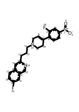 O=[N+]([O-])c1ccc(C2=CCN(CCCc3cc4ccc(F)cc4cn3)CC2)c(F)c1